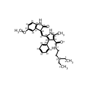 CCN(CC)CCNC(=O)c1c(C)[nH]c(/C=C2\C(=O)Nc3ccc(OC)cc32)c1-c1ccccc1